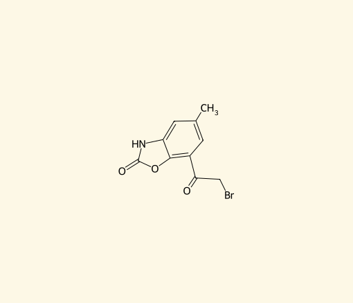 Cc1cc(C(=O)CBr)c2oc(=O)[nH]c2c1